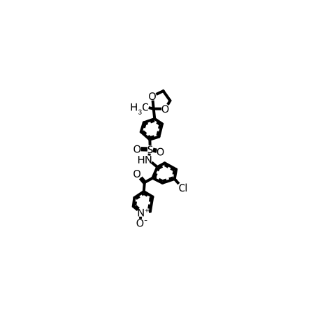 CC1(c2ccc(S(=O)(=O)Nc3ccc(Cl)cc3C(=O)c3cc[n+]([O-])cc3)cc2)OCCO1